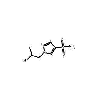 NS(=O)(=O)c1cnn(CC(F)F)c1